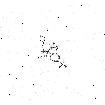 Cl.FC(F)(F)c1ccc2c(c1)O[C@H]1CC3(CCC3)CN[C@@H]21